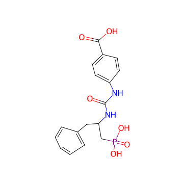 O=C(Nc1ccc(C(=O)O)cc1)NC(Cc1ccccc1)CP(=O)(O)O